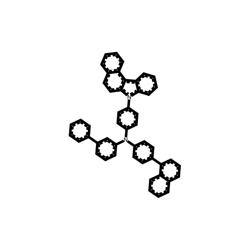 c1ccc(-c2cccc(N(c3ccc(-c4cccc5ccccc45)cc3)c3ccc(-n4c5ccccc5c5c6ccccc6ccc54)cc3)c2)cc1